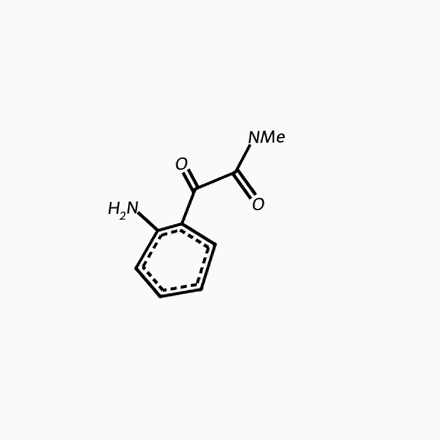 CNC(=O)C(=O)c1ccccc1N